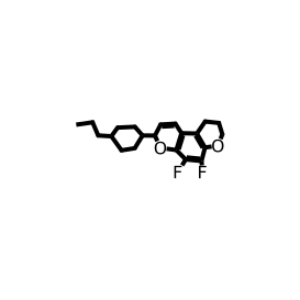 CCCC1CCC(C2C=Cc3c4c(c(F)c(F)c3O2)OCCC4)CC1